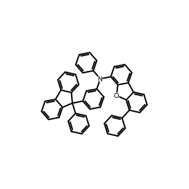 c1ccc(-c2cccc3c2oc2c(N(c4ccccc4)c4cccc(C5(c6ccccc6)c6ccccc6-c6ccccc65)c4)cccc23)cc1